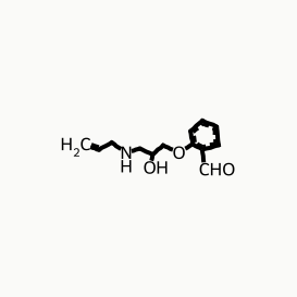 C=CCNCC(O)COc1ccccc1C=O